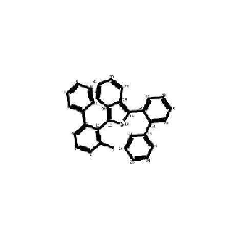 Cc1cccc(-c2ccccc2)c1-c1sc(-c2ccccc2-c2ccccc2)c2ccccc12